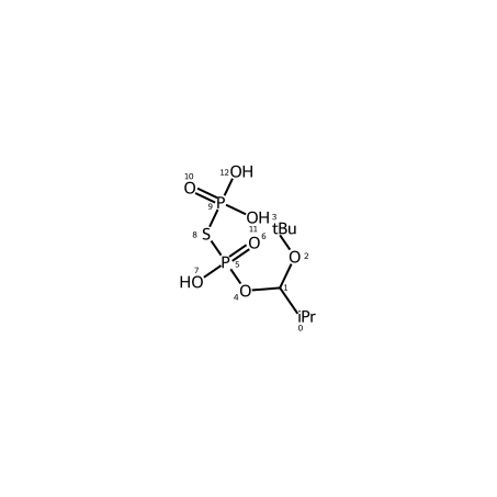 CC(C)C(OC(C)(C)C)OP(=O)(O)SP(=O)(O)O